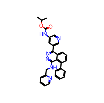 CC(C)OC(=O)Nc1cncc(-c2nnc(NCc3ccccn3)c3c(-c4ccccc4)cccc23)c1